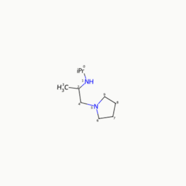 CC(C)NC(C)CN1CCCC1